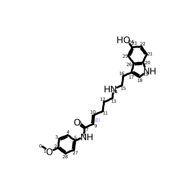 COc1ccc(NC(=O)/C=C/CCCNCCc2c[nH]c3ccc(O)cc23)cc1